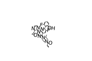 C=CC(=O)N1CCN(/C(=N/C)c2cc(F)c(-c3c(O)cccc3F)nc2N(C=O)c2nccnc2C2CC2)C(C)C1